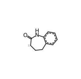 O=C1[C]CCc2ccccc2N1